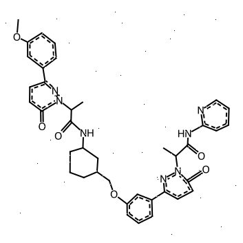 COc1cccc(-c2ccc(=O)n(C(C)C(=O)NC3CCCC(COc4cccc(-c5ccc(=O)n(C(C)C(=O)Nc6ccccn6)n5)c4)C3)n2)c1